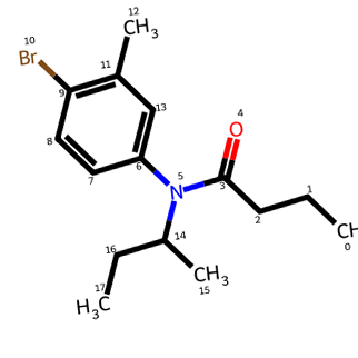 CCCC(=O)N(c1ccc(Br)c(C)c1)C(C)CC